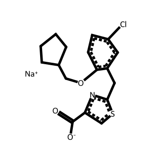 O=C([O-])c1csc(Cc2cc(Cl)ccc2OCC2CCCC2)n1.[Na+]